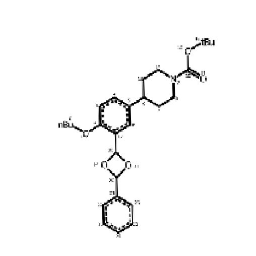 CCCCOc1ccc(C2CCN(C(=O)OC(C)(C)C)CC2)cc1C1OC(c2ccccc2)O1